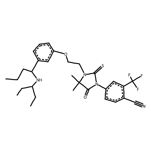 CCCC(NC(CC)CC)c1cccc(OCCN2C(=S)N(c3ccc(C#N)c(C(F)(F)F)c3)C(=O)C2(C)C)c1